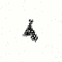 Cn1cnc2ccc(Nc3c(F)ccc(NS(=O)(=O)N4CC(COC(F)F)C4)c3Cl)c(F)c2c1=O.O=C(O)C(F)(F)F